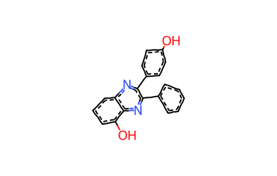 Oc1ccc(-c2nc3cccc(O)c3nc2-c2ccccc2)cc1